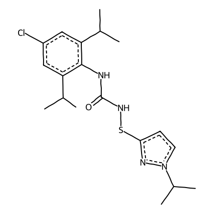 CC(C)c1cc(Cl)cc(C(C)C)c1NC(=O)NSc1ccn(C(C)C)n1